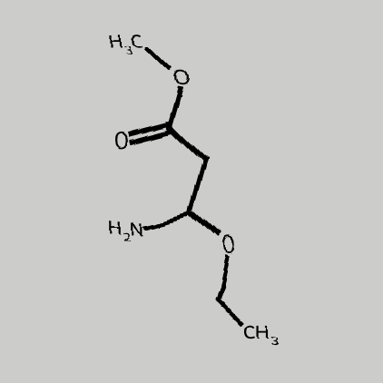 CCOC(N)CC(=O)OC